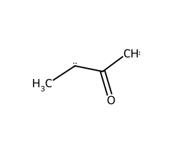 [CH]C(=O)[C]C